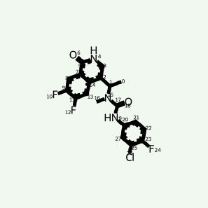 CC(c1c[nH]c(=O)c2cc(F)c(F)cc12)N(C)C(=O)Nc1ccc(F)c(Cl)c1